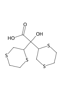 O=C(O)C(O)(C1CSCCS1)C1CSCCS1